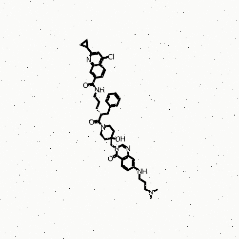 CN(C)CCCNc1ccc2c(=O)n(CC3(O)CCN(C(=O)[C@H](CCCNC(=O)c4ccc5c(Cl)cc(C6CC6)nc5c4)Cc4ccccc4)CC3)cnc2c1